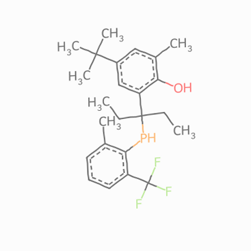 CCC(CC)(Pc1c(C)cccc1C(F)(F)F)c1cc(C(C)(C)C)cc(C)c1O